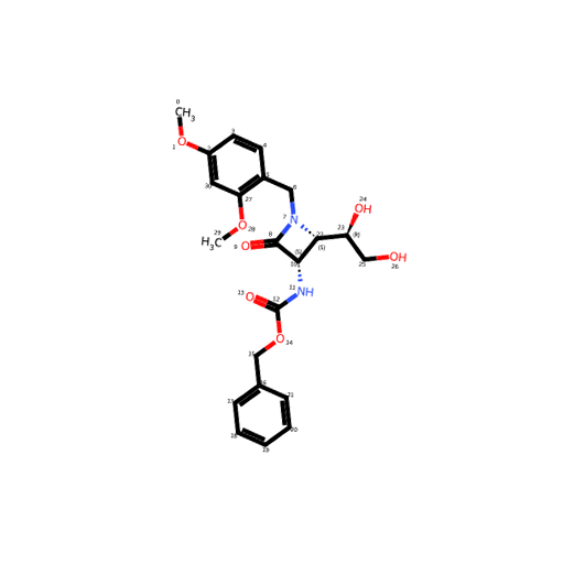 COc1ccc(CN2C(=O)[C@@H](NC(=O)OCc3ccccc3)[C@H]2[C@@H](O)CO)c(OC)c1